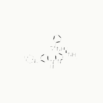 NC(=O)c1cnc(Nc2cccc(CN3CCOCC3)c2)cc1NC1(c2ccccc2)CC1